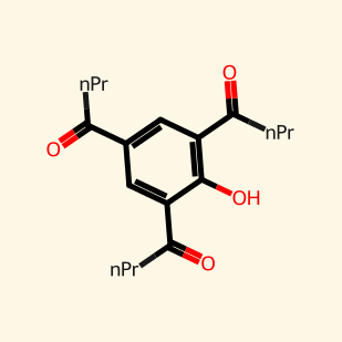 CCCC(=O)c1cc(C(=O)CCC)c(O)c(C(=O)CCC)c1